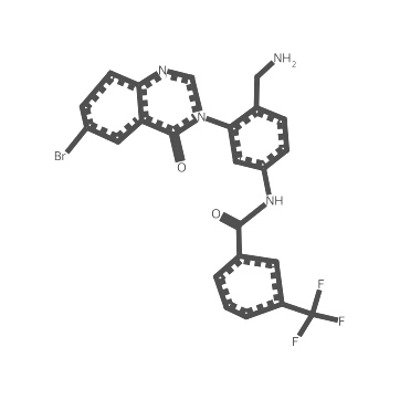 NCc1ccc(NC(=O)c2cccc(C(F)(F)F)c2)cc1-n1cnc2ccc(Br)cc2c1=O